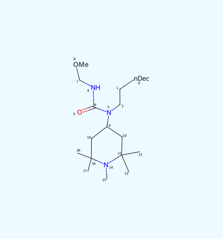 CCCCCCCCCCCCN(C(=O)NCOC)C1CC(C)(C)N(C)C(C)(C)C1